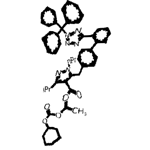 CCCn1nc(C(C)C)c(C(=O)OC(C)OC(=O)OC2CCCCC2)c1Cc1ccc(-c2ccccc2-c2nnn(C(c3ccccc3)(c3ccccc3)c3ccccc3)n2)cc1